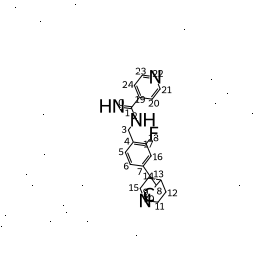 N=C(NCc1ccc(C2CN3CCC2CC3)cc1F)c1ccncc1